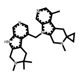 Cc1cncc2c1c1c(n2Cc2cncc3[nH]c4c(c23)CC(C)(C)N(C)C4)CN(C)C2(CC2)C1